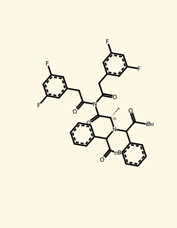 CCCCC(=O)C(c1ccccc1)N(C(C(=O)C(C)CC)c1ccccc1)[C@@H](C)C(=O)N(C(=O)Cc1cc(F)cc(F)c1)C(=O)Cc1cc(F)cc(F)c1